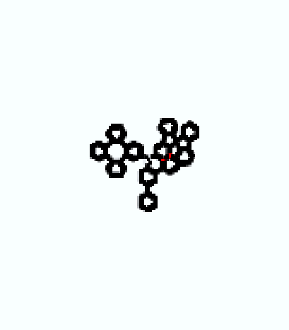 c1ccc(-c2ccc(N(c3ccc4c(c3)-c3ccccc3-c3ccccc3-c3ccccc3-4)c3ccc4c(c3)-c3ccccc3C43c4ccccc4-c4ccccc43)c(-c3ccccc3)c2)cc1